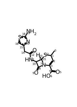 CC1C=C(C(=O)O)N2C(=O)C(NC(=O)Cc3csc(N)n3)[C@@H]2S1